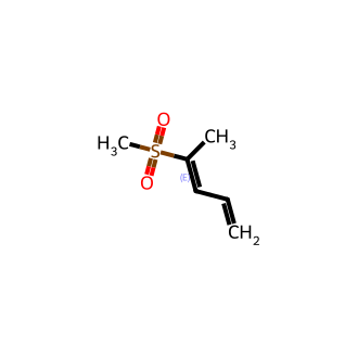 C=C/C=C(\C)S(C)(=O)=O